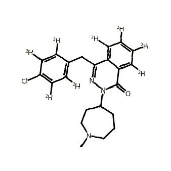 [2H]c1c([2H])c(Cc2nn(C3CCCN(C)CC3)c(=O)c3c([2H])c([2H])c([2H])c([2H])c23)c([2H])c([2H])c1Cl